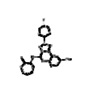 COc1ccc2nc(Nc3ccccnc3=O)n3nc(-c4ccc(F)cc4)nc3c2c1